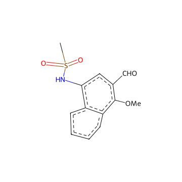 COc1c(C=O)cc(NS(C)(=O)=O)c2ccccc12